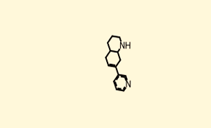 C1=C(c2cccnc2)CC2NCCCC2C1